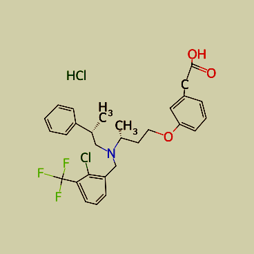 C[C@H](CN(Cc1cccc(C(F)(F)F)c1Cl)[C@H](C)CCOc1cccc(CC(=O)O)c1)c1ccccc1.Cl